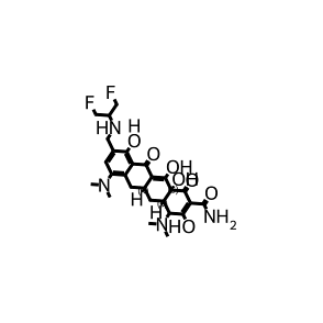 CN(C)c1cc(CNC(CF)CF)c(O)c2c1C[C@H]1C[C@H]3C(N(C)C)C(O)=C(C(N)=O)C(=O)[C@@]3(O)C(O)=C1C2=O